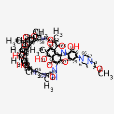 COCCN1CCN(c2cc(O)c3nc4c5c6c7c(C)c(O)c5c(=O)c(c-4oc3c2)NC(=O)/C(C)=C\C=C\[C@H](C)[C@H](O)[C@@H](C)[C@@H](O)[C@@H](C)[C@H](OC(C)=O)[C@H](C)[C@@H](OC)/C=C/O[C@@](C)(O7)C6=O)CC1